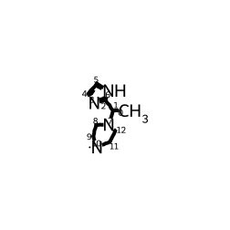 CC(c1ncc[nH]1)N1CC[N]CC1